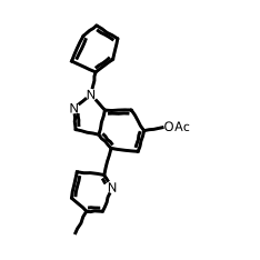 CC(=O)Oc1cc(-c2ccc(C)cn2)c2cnn(-c3ccccc3)c2c1